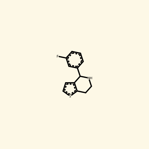 Fc1cccc(C2NCCc3sccc32)c1